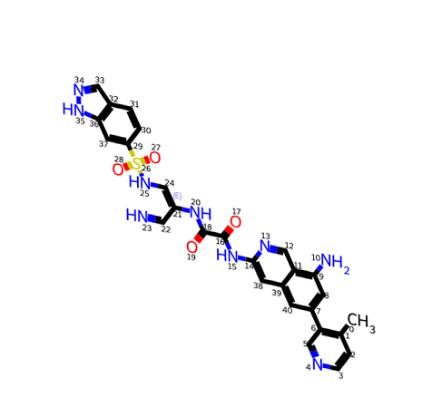 Cc1ccncc1-c1cc(N)c2cnc(NC(=O)C(=O)N/C(C=N)=C/NS(=O)(=O)c3ccc4cn[nH]c4c3)cc2c1